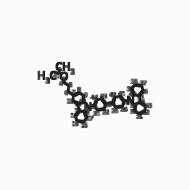 CC(C)OCCCc1ccc2c(c1)c1ccccc1n2-c1ccc(-c2ccc(-n3c4ccccc4c4ccccc43)cc2)cc1